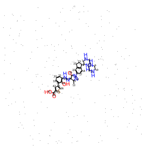 C1CNCCN1.C1CNCCN1.CC1=NN(c2ccc3c(c2)CCC3)C(=O)C1=NNc1cccc(-c2csc(C(=O)O)c2)c1O